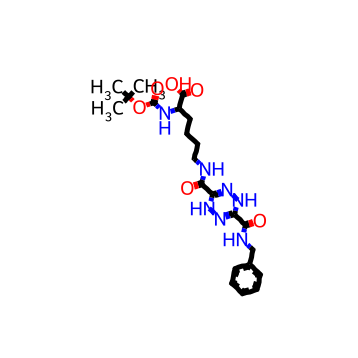 CC(C)(C)OC(=O)NC(CCCCNC(=O)C1=NNC(C(=O)NCc2ccccc2)=NN1)C(=O)O